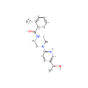 CCC(O)c1ccc(N2CCN(C(=O)c3ccccc3C(F)(F)F)CC2)nc1